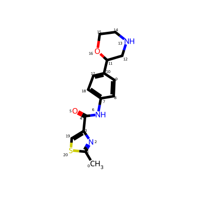 Cc1nc(C(=O)Nc2ccc(C3CNCCO3)cc2)cs1